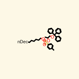 CCCCCCCCCCCCCCCCOCC(COC(c1ccccc1)(c1ccccc1)c1ccccc1)OS(=O)(=O)c1ccc(C)cc1